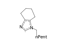 CCCCCCn1[c]nc2c1CCCC2